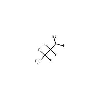 CCC(I)C(F)(F)C(F)(F)C(F)(F)F